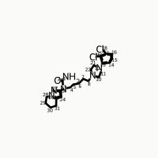 NC(=O)N(CCCCCN1CCN(c2cccc(Cl)c2Cl)CC1)c1cc2n(n1)CCCC2